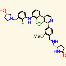 COc1cc(-c2nccc(-c3cccc(Nc4cccc(CN5CC[C@@H](O)C5)c4F)c3Cl)c2Cl)ccc1CNC[C@@H]1CCC(=O)N1